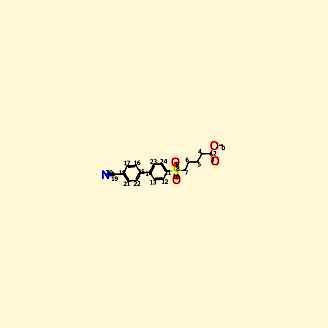 COC(=O)CCCCS(=O)(=O)c1ccc(-c2ccc(C#N)cc2)cc1